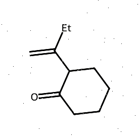 C=C(CC)C1CCCCC1=O